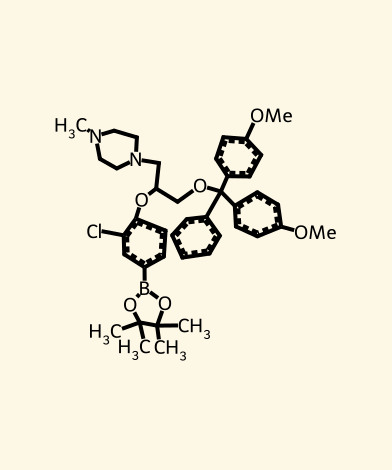 COc1ccc(C(OCC(CN2CCN(C)CC2)Oc2ccc(B3OC(C)(C)C(C)(C)O3)cc2Cl)(c2ccccc2)c2ccc(OC)cc2)cc1